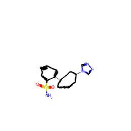 NS(=O)(=O)c1ccccc1[C@H]1CCC[C@@H](n2cnnc2)C1